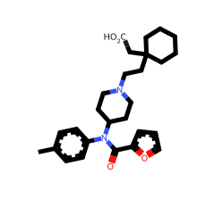 Cc1ccc(N(C(=O)c2ccco2)C2CCN(CCC3(CC(=O)O)CCCCC3)CC2)cc1